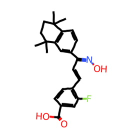 CC1(C)CCC(C)(C)c2cc(C(C=Cc3ccc(C(=O)O)cc3F)=NO)ccc21